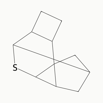 C1CC2C1C1SC3C4CC1CC243